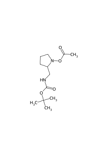 CC(=O)ON1CCCC1CNC(=O)OC(C)(C)C